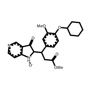 COC(=O)CC(c1ccc(OC2CCCCC2)c(OC)c1)C1C(=O)c2cnccc2[NH+]1[O-]